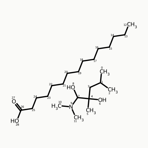 CC(C)CC(C)(O)C(O)N(C)C.CCCCCCCCCCCCCCC(=O)O